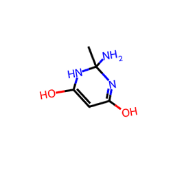 CC1(N)N=C(O)C=C(O)N1